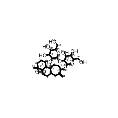 C=C1CC2CC[C@H]3[C@@](C)(CCC[C@@]3(C)C=O)[C@@H]2CCC1OC1OC(CO)C(O)C(O)C1OC1OC(CO)C(O)C(O)C1O